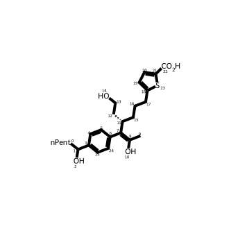 CCCCCC(O)c1ccc(/C(=C(/C)O)[C@H](CCO)CCCc2ccc(C(=O)O)s2)cc1